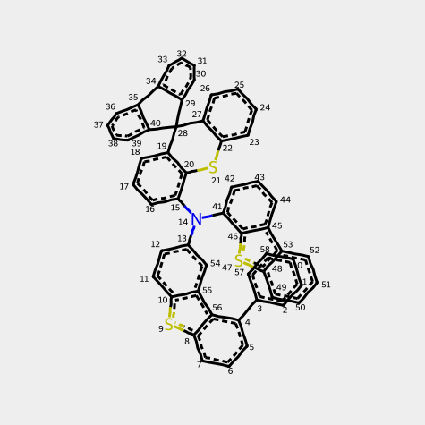 c1ccc(-c2cccc3sc4ccc(N(c5cccc6c5Sc5ccccc5C65c6ccccc6-c6ccccc65)c5cccc6c5sc5ccccc56)cc4c23)cc1